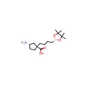 CC1(C)OB(CCCC[C@@]2(C(=O)O)CC[C@H](N)C2)OC1(C)C